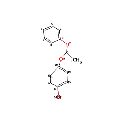 CC(Oc1ccccc1)Oc1ccc(Br)cc1